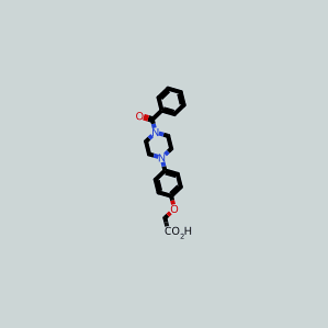 O=C(O)COc1ccc(N2CCN(C(=O)c3ccccc3)CC2)cc1